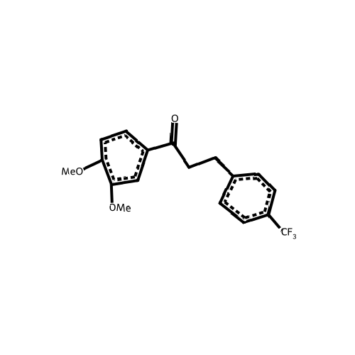 COc1ccc(C(=O)CCc2ccc(C(F)(F)F)cc2)cc1OC